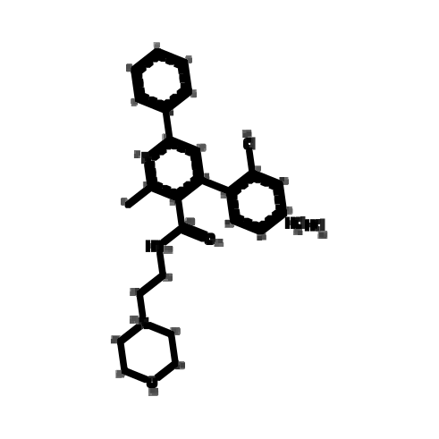 Cc1nc(-c2ccccc2)cc(-c2ccccc2Cl)c1C(=O)NCCN1CCOCC1.Cl.Cl